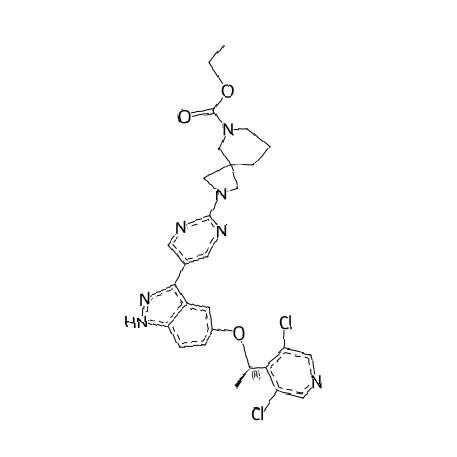 CCOC(=O)N1CCCC2(C1)CN(c1ncc(-c3n[nH]c4ccc(O[C@H](C)c5c(Cl)cncc5Cl)cc34)cn1)C2